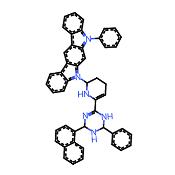 C1=C(C2=NC(c3cccc4ccccc34)NC(c3ccccc3)N2)NC(n2c3ccccc3c3cc4c5ccccc5n(-c5ccccc5)c4cc32)CC1